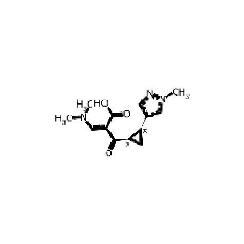 CN(C)C=C(C(=O)O)C(=O)[C@@H]1C[C@H]1c1cnn(C)c1